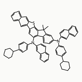 CC1(C)c2cc(N(c3ccc(C4CCCCC4)cc3)c3ccc4ccccc4c3)ccc2-c2c(N(c3ccc(C4CCCCC4)cc3)c3ccc4ccccc4c3)cc3c(sc4cc5ccccc5cc43)c21